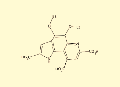 CCOc1c(OCC)c2nc(C(=O)O)cc(C(=O)O)c2c2[nH]c(C(=O)O)cc12